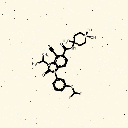 CC(C)n1c(=O)n(-c2cccc(OC(F)F)c2)c2ccc(C(=O)NC3(C)CCS(O)(O)CC3)c(C#N)c21